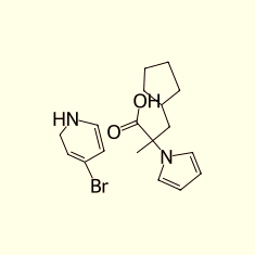 BrC1=CCNC=C1.CC(CC1CCCC1)(C(=O)O)n1cccc1